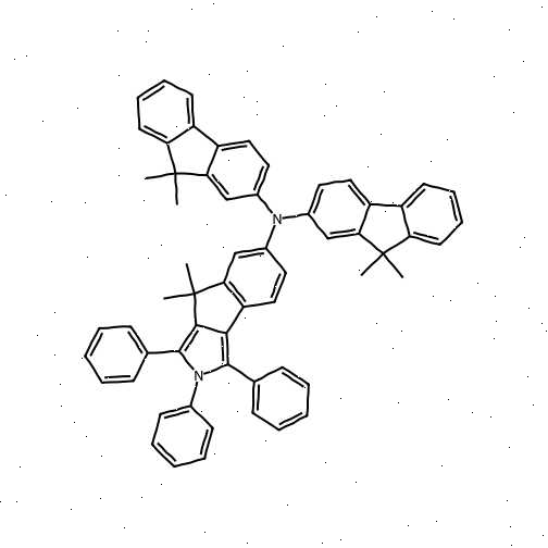 CC1(C)c2ccccc2-c2ccc(N(c3ccc4c(c3)C(C)(C)c3ccccc3-4)c3ccc4c(c3)C(C)(C)c3c-4c(-c4ccccc4)n(-c4ccccc4)c3-c3ccccc3)cc21